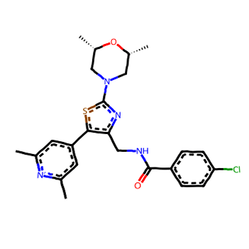 Cc1cc(-c2sc(N3C[C@@H](C)O[C@@H](C)C3)nc2CNC(=O)c2ccc(Cl)cc2)cc(C)n1